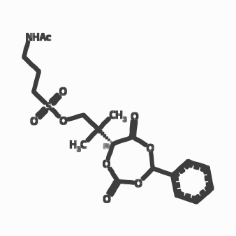 CC(=O)NCCCS(=O)(=O)OCC(C)(C)[C@H]1OC(=O)OC(c2ccccc2)OC1=O